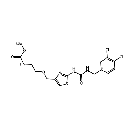 CC(C)(C)OC(=O)NCCOCc1csc(NC(=O)NCc2ccc(Cl)c(Cl)c2)n1